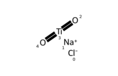 [Cl-].[Na+].[O]=[Ti]=[O]